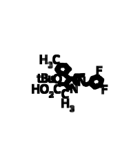 Cc1ccc(-c2c(C(OC(C)(C)C)C(=O)O)c(C)nc3c2ccn3Cc2cc(F)cc(F)c2)cc1